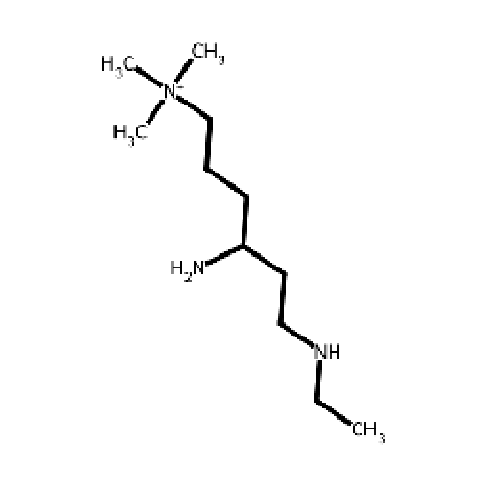 CCNCCC(N)CCC[N+](C)(C)C